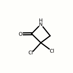 O=C1NCC1(Cl)Cl